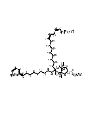 CCCCC/C=C\C/C=C\CCCCCCCCC1(CCCCCCCC/C=C\C/C=C\CCCCC)O[C@H]2C[C@@H](CNC)C[C@H]2O1